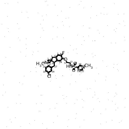 CN1C2C1C21Cc2cc(F)c(OCCNS(=O)(=O)c3cn(C)cn3)cc2C1Cc1cccc(Cl)c1